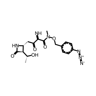 C[C@@H](O)[C@H]1C(=O)N[C@@H]1CC(=O)C(=N)C(=O)N(C)OCc1ccc(N=[N+]=[N-])cc1